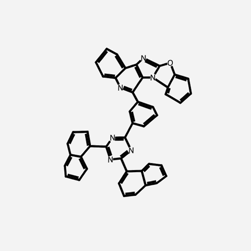 c1cc(-c2nc(-c3cccc4ccccc34)nc(-c3cccc4ccccc34)n2)cc(-c2nc3ccccc3c3nc4oc5ccccc5n4c23)c1